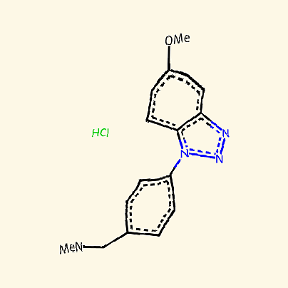 CNCc1ccc(-n2nnc3cc(OC)ccc32)cc1.Cl